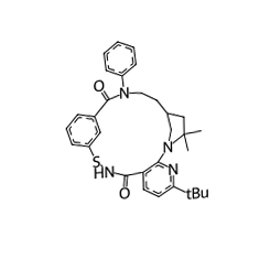 CC(C)(C)c1ccc2c(n1)N1CC(CCN(c3ccccc3)C(=O)c3cccc(c3)SNC2=O)CC1(C)C